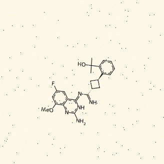 COc1cc(F)cc2/c(=N/C(=N)[C@H]3C[C@H](c4ccccc4C(C)(C)O)C3)[nH]c(N)nc12